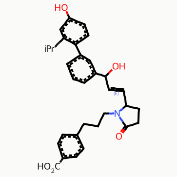 CC(C)c1cc(O)ccc1-c1cccc(C(O)/C=C/C2CCC(=O)N2CCCc2ccc(C(=O)O)cc2)c1